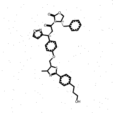 CC1N=C(c2ccc(CCCO)cc2)SC1COc1ccc([C@H](CC(=O)N2C(=O)OC[C@@H]2Cc2ccccc2)c2ccon2)cc1